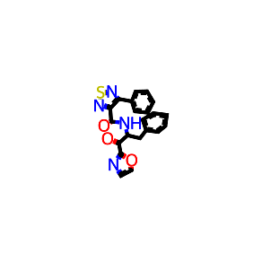 O=C(NC(Cc1ccccc1)C(=O)c1ncco1)c1nsnc1-c1ccccc1